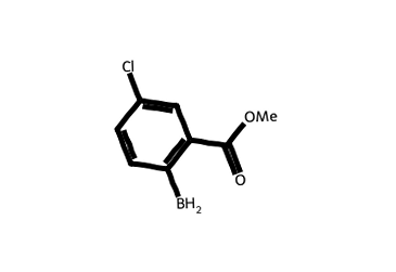 Bc1ccc(Cl)cc1C(=O)OC